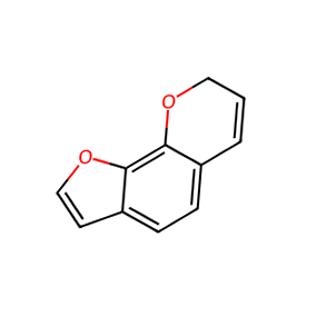 C1=Cc2ccc3ccoc3c2OC1